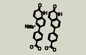 O=C([O-])c1ccc(-c2ccc3[nH]c(=O)ccc3c2)cc1.O=C([O-])c1ccc(-c2ccc3[nH]c(=O)ccc3c2)cc1.[Na+].[Na+]